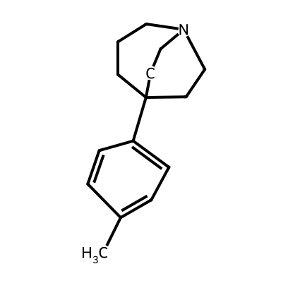 Cc1ccc(C23CCCN(CC2)CC3)cc1